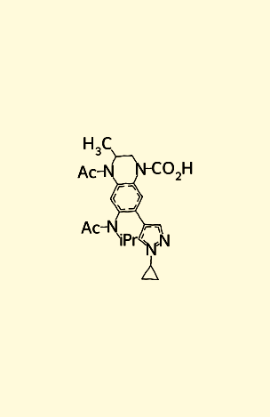 CC(=O)N(c1cc2c(cc1-c1cnn(C3CC3)c1)N(C(=O)O)CC(C)N2C(C)=O)C(C)C